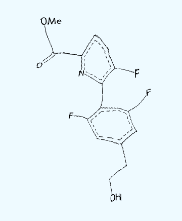 COC(=O)c1ccc(F)c(-c2c(F)cc(CCO)cc2F)n1